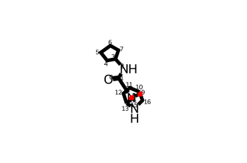 O=C(NC1CCCC1)N1CC2CCC(C1)NC2